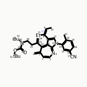 C=C1C=CN=c2c(c(/C(=C\C)CC)cn2-c2cc(C#N)ccc2C)=C1C(=C)CCN(C(=O)OC(C)(C)C)[C@H](C)CC